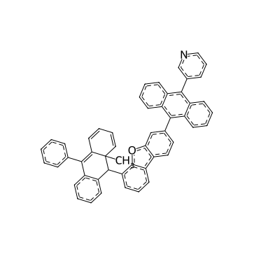 CC12C=CC=CC1=C(c1ccccc1)c1ccccc1C2c1cccc2c1oc1cc(-c3c4ccccc4c(-c4cccnc4)c4ccccc34)ccc12